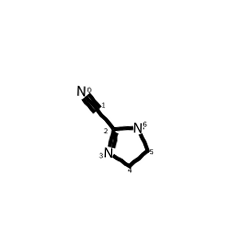 N#CC1=NCC[N]1